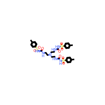 Cc1ccc(S(=O)(=O)NC(=O)NCCN(CCNC(=O)NS(=O)(=O)c2ccc(C)cc2)CCNC(=O)NS(=O)(=O)c2ccc(C)cc2)cc1